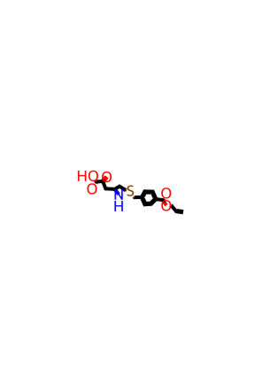 C=CCOC(=O)c1ccc(CSC2CC(CC(=O)C(=O)O)N2)cc1